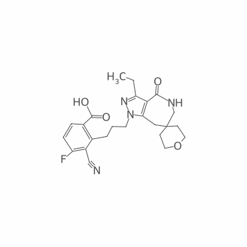 CCc1nn(CCCc2c(C(=O)O)ccc(F)c2C#N)c2c1C(=O)NCC1(CCOCC1)C2